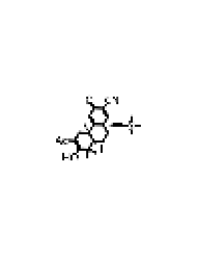 CC(=O)C1=C(O)C(C)(C)[C@@H]2CC[C@@]3(C#C[Si](C)(C)C)C=C(C#N)C(=O)C=C3[C@@]2(C)C1